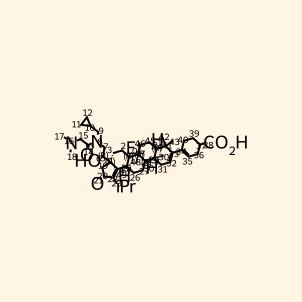 CC[C@@]12CC[C@@]3([C@@H](O)CN(CC4CC4)C(=O)CN(C)C)CC(=O)C(C(C)C)=C3[C@H]1CC[C@@H]1[C@@]3(C)CC=C(C4=CCC(C(=O)O)CC4)C(C)(C)[C@@H]3CC[C@]12C